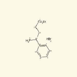 Br.CCOC(=O)CCC(P)c1ccccc1